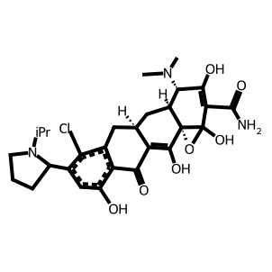 CC(C)N1CCCC1c1cc(O)c2c(c1Cl)C[C@H]1C[C@H]3[C@H](N(C)C)C(O)=C(C(N)=O)C4(O)O[C@]34C(O)=C1C2=O